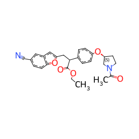 CCOC(=O)C(Cc1cc2cc(C#N)ccc2o1)c1ccc(O[C@H]2CCN(C(C)=O)C2)cc1